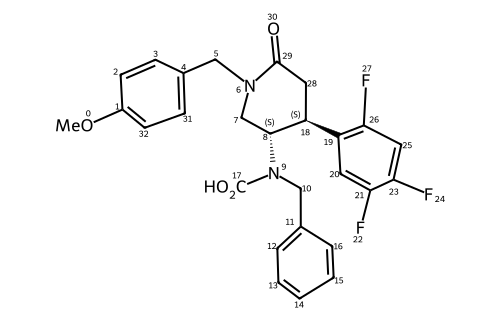 COc1ccc(CN2C[C@@H](N(Cc3ccccc3)C(=O)O)[C@H](c3cc(F)c(F)cc3F)CC2=O)cc1